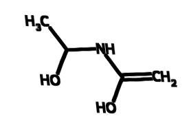 C=C(O)NC(C)O